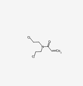 C=CC(=O)N(CCCl)CCCl